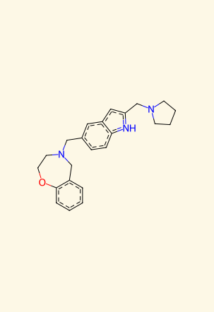 c1ccc2c(c1)CN(Cc1ccc3[nH]c(CN4CCCC4)cc3c1)CCO2